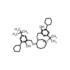 CC(C)(C)c1cc(CSC2CCCCCCC2SCc2cc(C(C)(C)C)cc(C3CCCCC3)c2O)c(O)c(C2CCCCC2)c1